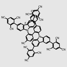 N#Cc1cc(C#N)c(-c2ccc3c(c2)c2cc(-c4c(C#N)cc(C#N)cc4C#N)ccc2n3-c2ccc(-c3ccc(C#N)cc3C(F)(F)F)cc2-c2ccc(C#N)cc2-n2c3ccc(-c4c(C#N)cc(C#N)cc4C#N)cc3c3cc(-c4c(C#N)cc(C#N)cc4C#N)ccc32)c(C#N)c1